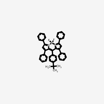 CC(C)(C)c1ccc(C2=C3C(c4ccccc4)=CC(c4ccccc4)=[N+]3[B-](F)(F)n3c(-c4ccccc4)cc(-c4ccccc4)c32)cc1